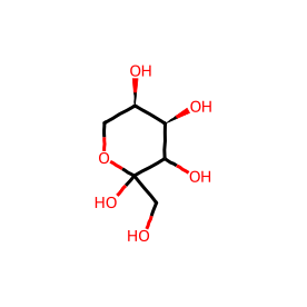 OCC1(O)OC[C@@H](O)[C@@H](O)C1O